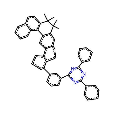 CC1(C)c2cc3ccc4c(-c5cccc(-c6nc(-c7ccccc7)nc(-c7ccccc7)n6)c5)cccc4c3cc2-c2c(ccc3ccccc23)C1(C)C